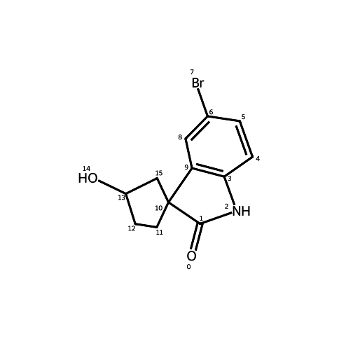 O=C1Nc2ccc(Br)cc2C12CCC(O)C2